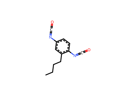 CCCCc1cc(N=C=O)ccc1N=C=O